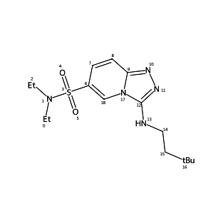 CCN(CC)S(=O)(=O)c1ccc2nnc(NCCC(C)(C)C)n2c1